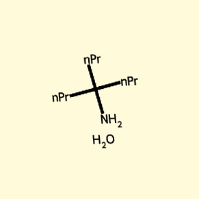 CCCC(N)(CCC)CCC.O